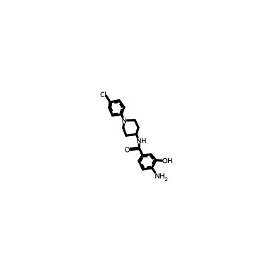 Nc1ccc(C(=O)NC2CCN(c3ccc(Cl)cc3)CC2)cc1O